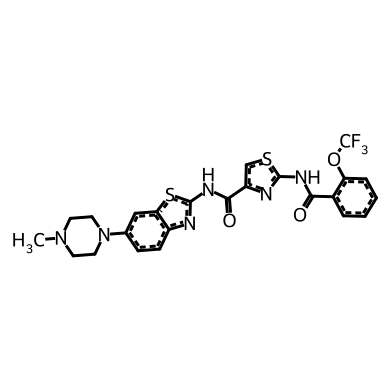 CN1CCN(c2ccc3nc(NC(=O)c4csc(NC(=O)c5ccccc5OC(F)(F)F)n4)sc3c2)CC1